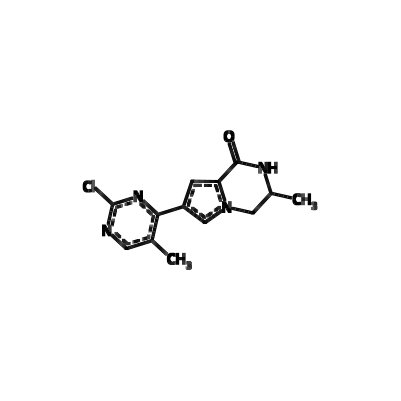 Cc1cnc(Cl)nc1-c1cc2n(c1)CC(C)NC2=O